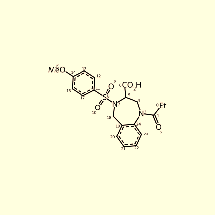 CCC(=O)N1CC(C(=O)O)N(S(=O)(=O)c2ccc(OC)cc2)Cc2ccccc21